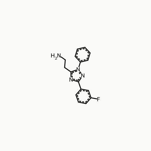 NCCc1nc(-c2cccc(F)c2)nn1-c1ccccc1